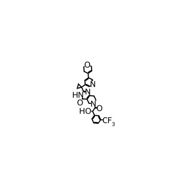 O=C([C@H](O)c1cccc(C(F)(F)F)c1)N1CCc2nc(C3(c4cncc(C5=CCOCC5)c4)CC3)[nH]c(=O)c2C1